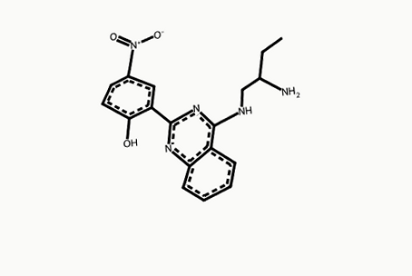 CCC(N)CNc1nc(-c2cc([N+](=O)[O-])ccc2O)nc2ccccc12